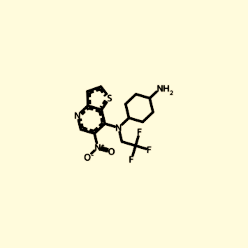 NC1CCC(N(CC(F)(F)F)c2c([N+](=O)[O-])cnc3ccsc23)CC1